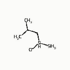 CC(C)C[SiH]([SiH3])Cl